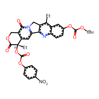 CCc1c2c(nc3ccc(OC(=O)OC(C)(C)C)cc13)-c1cc3c(c(=O)n1C2)COC(=O)[C@@]3(CC)OC(=O)Oc1ccc([N+](=O)[O-])cc1